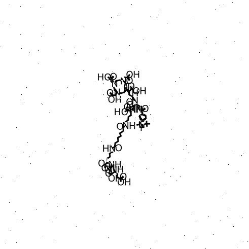 CC(C)(C)S(F)(c1ccc(C(=O)NCC(NC(=O)CCC(C(=O)O)N2CCN(CC(=O)O)CCN(CC(=O)O)CCN(CC(=O)O)CC2)C(=O)NC(CCCCNC(=O)CCCCCCC(=O)NCCCC[C@H](NC(=O)N[C@@H](CCC(=O)O)C(=O)O)C(=O)O)C(=O)O)cc1)C(C)(C)C